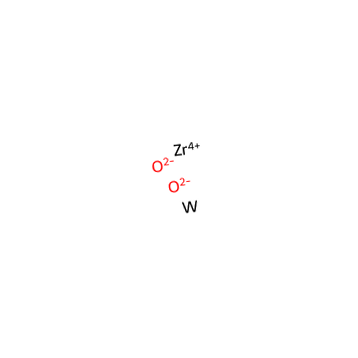 [O-2].[O-2].[W].[Zr+4]